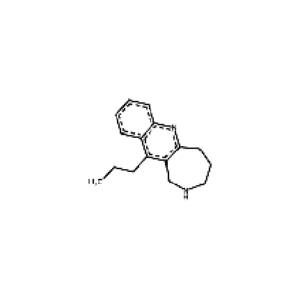 CCCc1c2c(nc3ccccc13)CCCNC2